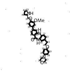 COc1cc(-c2ccc3c(c2)Nc2ccc(CCOc4ccc(N5CCOCC5)cc4)cc2NC3=O)ccc1OC[C@H]1CCCN1